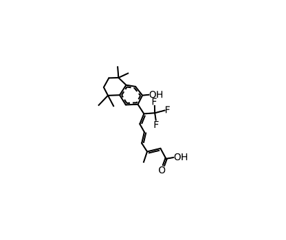 CC(C=CC=C(c1cc2c(cc1O)C(C)(C)CCC2(C)C)C(F)(F)F)=CC(=O)O